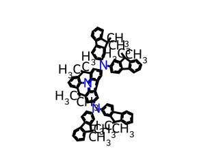 CC1(C)c2ccccc2-c2ccc(N(c3ccc4c(c3)C(C)(C)c3ccccc3-4)c3cc4c5c(c3)c3cc(N(c6ccc7c(c6)C(C)(C)c6ccccc6-7)c6ccc7c(c6)C(C)(C)c6ccccc6-7)cc6c3n5-c3c(cccc3C6(C)C)C4(C)C)cc21